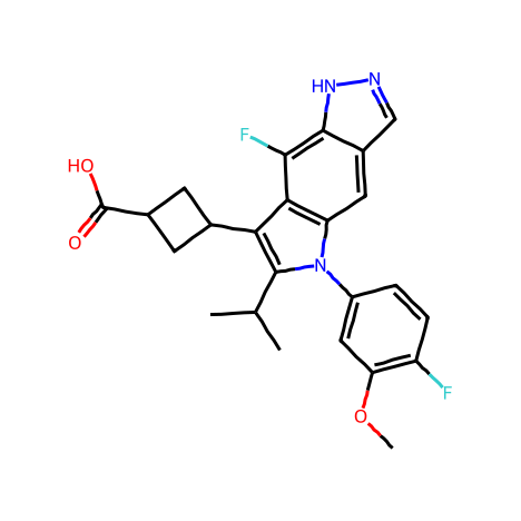 COc1cc(-n2c(C(C)C)c(C3CC(C(=O)O)C3)c3c(F)c4[nH]ncc4cc32)ccc1F